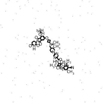 [2H]C([2H])([2H])Oc1cc(OC2CC(N(CC3CCN(c4cnc(C(=O)NC5C(C)(C)C(Oc6cc(C)c(C#N)c(C)c6)C5(C)C)cn4)CC3)C(C)C)C2)cc2c1C(=O)N([C@@H]1CCC(=O)NC1=O)C2=O